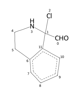 O=CC1(Cl)NCCc2ccccc21